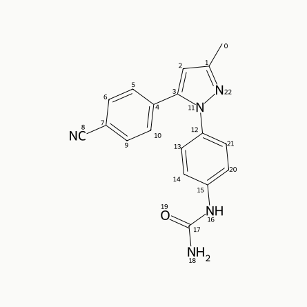 Cc1cc(-c2ccc(C#N)cc2)n(-c2ccc(NC(N)=O)cc2)n1